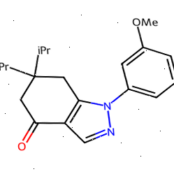 COc1cccc(-n2ncc3c2CC(C(C)C)(C(C)C)CC3=O)c1